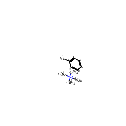 CCCC[N+](CCCC)(CCCC)CCCC.[CH2]Cc1ccccc1